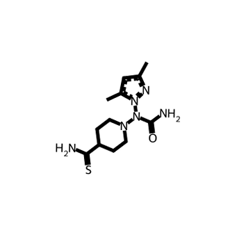 Cc1cc(C)n(N(C(N)=O)N2CCC(C(N)=S)CC2)n1